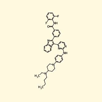 CCCCN(CC)C1CCN(c2ccc(Nc3nccc(-c4c(-c5cccc(C(=O)Nc6c(F)cccc6F)c5)nc5ccccn45)n3)cc2)CC1